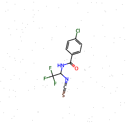 O=C(NC(N=C=S)C(F)(F)F)c1ccc(Cl)cc1